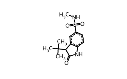 CNS(=O)(=O)c1ccc2c(c1)C(C(C)(C)C)C(=O)N2